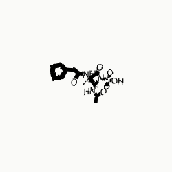 CC(=O)N[C@@H]1N(S(=O)(=O)O)C(=O)[C@]1(C)NC(=O)Cc1ccccc1